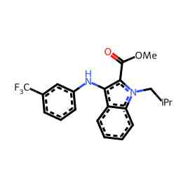 COC(=O)c1c(Nc2cccc(C(F)(F)F)c2)c2ccccc2n1CC(C)C